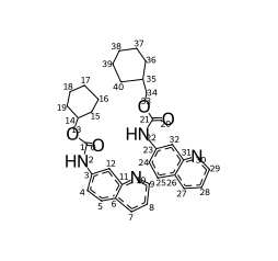 O=C(Nc1ccc2cccnc2c1)OC1CCCCC1.O=C(Nc1ccc2cccnc2c1)OCC1CCCCC1